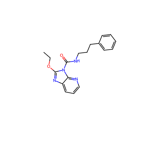 CCOc1nc2cccnc2n1C(=O)NCCCc1ccccc1